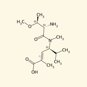 CO[C@@H](C)[C@H](N)C(=O)N(C)[C@H](/C=C(\C)C(=O)O)C(C)C